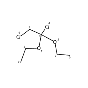 CCOC(Cl)(CCl)OCC